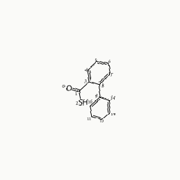 O=C(S)c1ccccc1-c1ccccc1